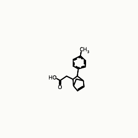 Cc1ccc(C2C3C=CC(C3)C2CC(=O)O)cc1